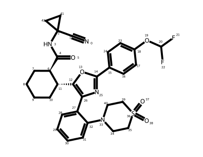 N#CC1(NC(=O)[C@@H]2CCCC[C@H]2c2oc(-c3ccc(OC(F)F)cc3)nc2-c2ccccc2N2CCS(=O)(=O)CC2)CC1